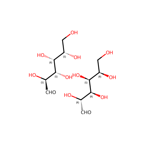 O=C[C@@H](O)[C@@H](O)[C@H](O)[C@@H](O)CO.O=C[C@H](O)[C@H](O)[C@@H](O)[C@H](O)CO